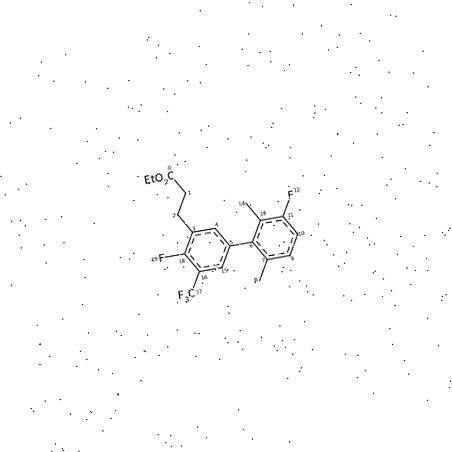 CCOC(=O)CCc1cc(-c2c(C)ccc(F)c2C)cc(C(F)(F)F)c1F